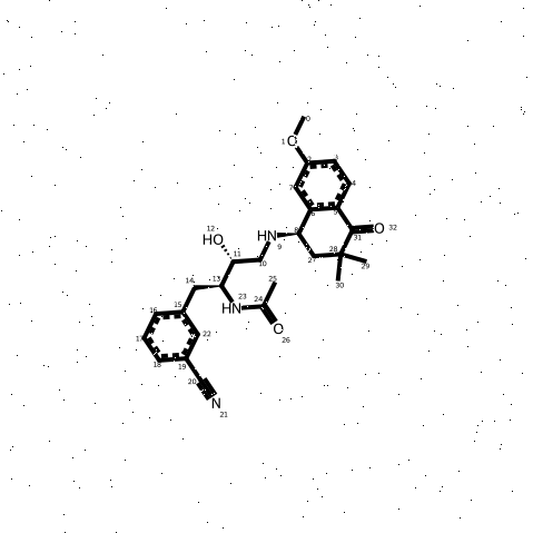 COc1ccc2c(c1)[C@H](NC[C@@H](O)[C@H](Cc1cccc(C#N)c1)NC(C)=O)CC(C)(C)C2=O